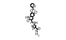 C[C@H](Nc1cc(C(N)=O)n(C)n1)c1cc2cc(Cl)c(O[C@H](C)c3ccccn3)cc2[nH]c1=O